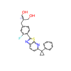 O/C=C(\CO)Cc1ccc(-c2nc3ccc(C4(c5ccccc5)CC4)nc3s2)c(F)c1